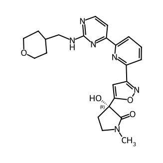 CN1CC[C@@](O)(c2cc(-c3cccc(-c4ccnc(NCC5CCOCC5)n4)n3)no2)C1=O